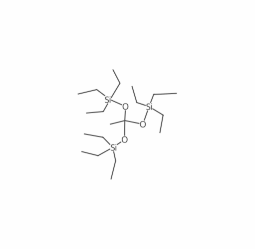 CC[Si](CC)(CC)OC(C)(O[Si](CC)(CC)CC)O[Si](CC)(CC)CC